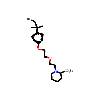 CCOC(=O)C1CCCCN1CCOCCOc1ccc(C(C)(C)CC(C)(C)C)cc1